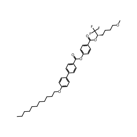 CCCCCCCCCCCOc1ccc(-c2ccc(C(=O)Oc3ccc(C(=O)O[C@H](CCCCOC)C(F)(F)F)cc3)cc2)cc1